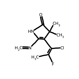 C=NC1=C(/C(Cl)=C(\C)F)C(C)(C)C(=O)N1